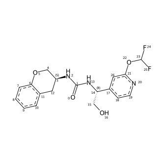 O=C(N[C@@H]1COc2ccccc2C1)N[C@@H](CO)c1ccnc(OC(F)F)c1